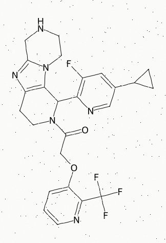 O=C(COc1cccnc1C(F)(F)F)N1CCc2nc3n(c2C1c1ncc(C2CC2)cc1F)CCNC3